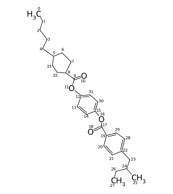 CCCCCC1CCC(C(=O)Oc2ccc(OC(=O)c3ccc(CC(C)CC)cc3)cc2)CC1